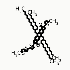 CCCCCCCCCCCCC(CCCCCCCCCC)Cc1c2cc3cc(-c4ccc(-c5cc6sc(C)cc6s5)s4)c(=O)c3cc2c(CC(CCCCCCCCCC)CCCCCCCCCCCC)c2cc3cc(-c4ccc(C)s4)c(=O)c3cc12